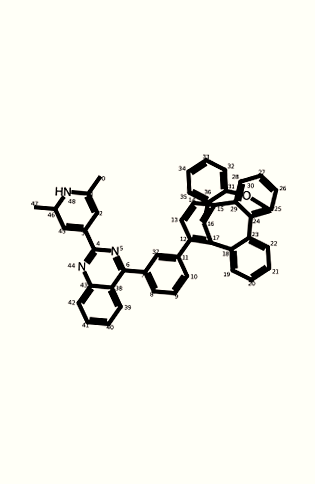 CC1=CC(c2nc(-c3cccc(-c4ccc5c6c4-c4ccccc4-c4c(cccc4-5)Oc4ccccc4-6)c3)c3ccccc3n2)=CC(C)N1